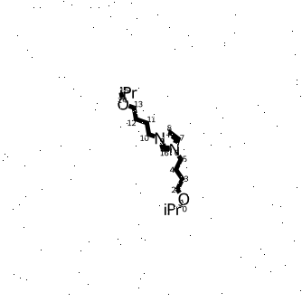 CC(C)OCCCCn1cc[n+](CCCCOC(C)C)c1